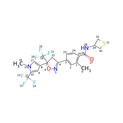 Cc1cc(C2=NOC(c3cc(C(F)(F)F)n(C)c3)(C(F)(F)F)C2)ccc1C(=O)NC1CSC1